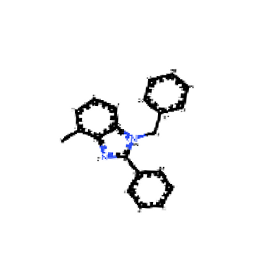 Cc1cccc2c1nc(-c1ccccc1)n2Cc1ccccc1